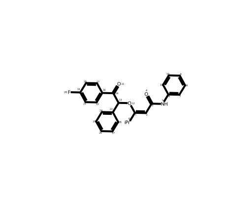 CC(C)C(=CC(=O)Nc1ccccc1)OC(C(=O)c1ccc(F)cc1)c1ccccc1